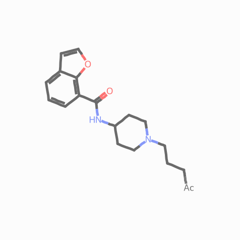 CC(=O)CCCN1CCC(NC(=O)c2cccc3ccoc23)CC1